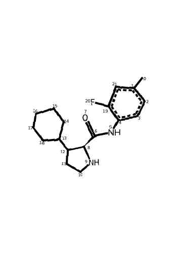 Cc1ccc(NC(=O)[C@H]2NCCC2C2CCCCC2)c(F)c1